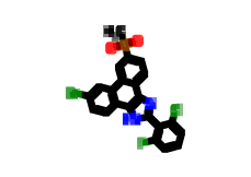 CS(=O)(=O)c1ccc2c(c1)c1cc(Br)ccc1c1[nH]c(-c3c(F)cccc3Cl)nc21